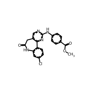 COC(=O)c1ccc(Nc2ncc3c(n2)-c2ccc(Cl)cc2NC(=O)C3)cc1